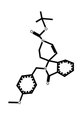 COc1ccc(CN2C(=O)c3ccccc3C23C=CN(C(=O)OC(C)(C)C)CC3)cc1